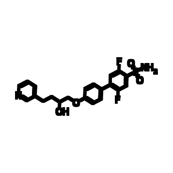 NS(=O)(=O)c1cc(F)c(-c2ccc(OCC(O)CCc3cccnc3)cc2)cc1F